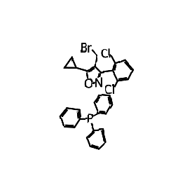 Clc1cccc(Cl)c1-c1noc(C2CC2)c1CBr.c1ccc(P(c2ccccc2)c2ccccc2)cc1